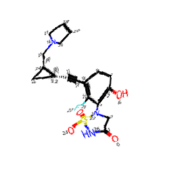 O=C1CN(c2c(O)ccc(C#C[C@@H]3C[C@H]3CN3CCCC3)c2F)S(=O)(=O)N1